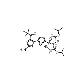 CC(C)OC(=O)[C@H](C)NP(=O)(N[C@@H](C)C(=O)OC(C)C)c1ccc(-c2nc(N)sc2C(=O)C(C)(C)C)o1